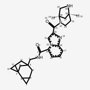 O=C(NCC12CC3CC3C3(CC3C1)C2)c1cccc2nc(C(=O)N3CC[C@H]4C[C@@H]3CN4)cn12